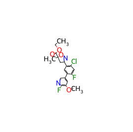 CCOC(=O)C1(C)CC(c2cc(-c3cnc(F)c(OC)c3)c(F)cc2Cl)=NO1